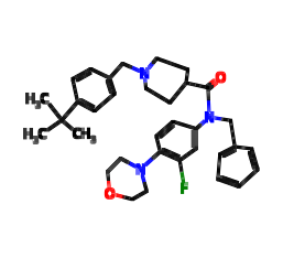 CC(C)(C)c1ccc(CN2CCC(C(=O)N(Cc3ccccc3)c3ccc(N4CCOCC4)c(F)c3)CC2)cc1